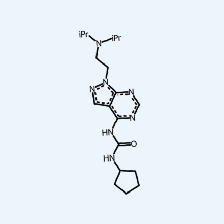 CC(C)N(CCn1ncc2c(NC(=O)NC3CCCC3)ncnc21)C(C)C